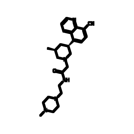 C[C@H]1C[C@H](c2ccc(C#N)c3ncccc23)CN(CC(=O)NCCN2CCN(C)CC2)C1